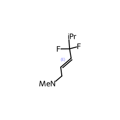 CNC/C=C/C(F)(F)C(C)C